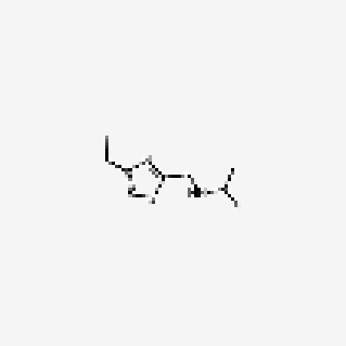 CCc1csc(CNC(C)C)n1